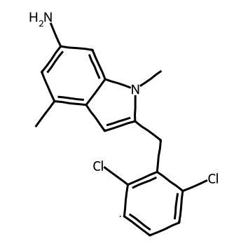 Cc1cc(N)cc2c1cc(Cc1c(Cl)[c]ccc1Cl)n2C